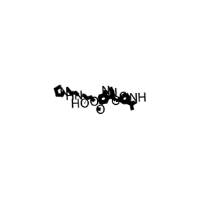 COc1cc2c(Oc3ccc4[nH]cc(C)c4c3)ncnc2cc1OC[C@H](O)CNCCCN1CCCC1